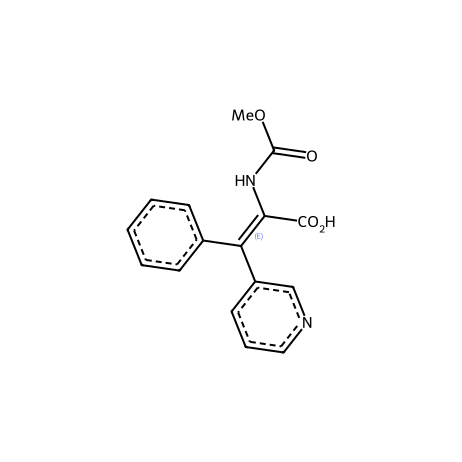 COC(=O)N/C(C(=O)O)=C(\c1ccccc1)c1cccnc1